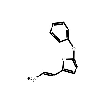 O=C(O)C=Cc1ccc(Oc2ccccc2)o1